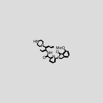 C=C/C=C(\C(=C/C)NC(=O)c1cccc(N2Cc3cccc(OC)c3C2=O)n1)N1CCNCC1